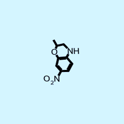 CC1CNc2ccc([N+](=O)[O-])cc2O1